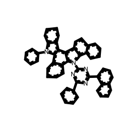 c1ccc(-c2nc(-c3cccc4ccccc34)nc(-n3c4c5ccccc5ccc4c4c5c6ccccc6n(-c6ccccc6)c5c5ccccc5c43)n2)cc1